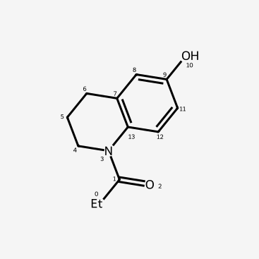 CCC(=O)N1CCCc2cc(O)ccc21